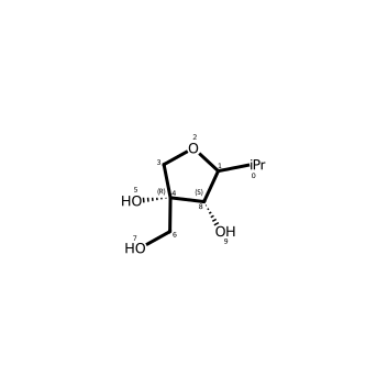 CC(C)C1OC[C@](O)(CO)[C@H]1O